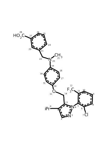 CC(C)c1cnn(-c2c(Cl)cccc2C(F)(F)F)c1COc1ccc(N(C)Cc2cccc(C(=O)O)c2)cc1